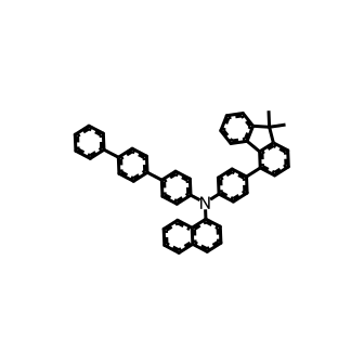 CC1(C)c2ccccc2-c2c(-c3ccc(N(c4ccc(-c5ccc(-c6ccccc6)cc5)cc4)c4cccc5ccccc45)cc3)cccc21